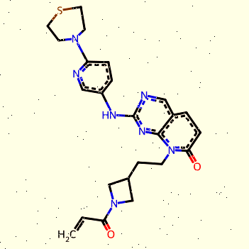 C=CC(=O)N1CC(CCn2c(=O)ccc3cnc(Nc4ccc(N5CCSCC5)nc4)nc32)C1